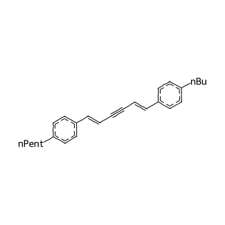 CCCCCc1ccc(C=CC#CC=Cc2ccc(CCCC)cc2)cc1